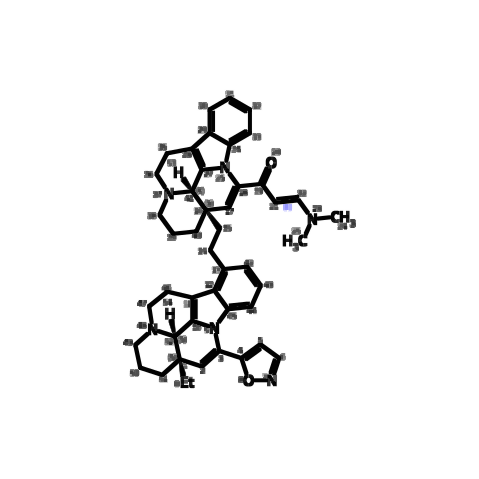 CC[C@@]12C=C(c3ccno3)n3c4c(c5c(CC[C@@]67C=C(C(=O)/C=C/N(C)C)n8c9c(c%10ccccc%108)CCN(CCC6)[C@H]97)cccc53)CCN(CCC1)[C@H]42